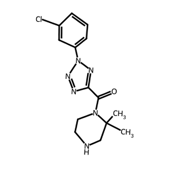 CC1(C)CNCCN1C(=O)c1nnn(-c2cccc(Cl)c2)n1